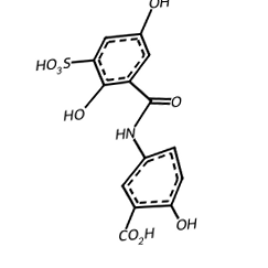 O=C(O)c1cc(NC(=O)c2cc(O)cc(S(=O)(=O)O)c2O)ccc1O